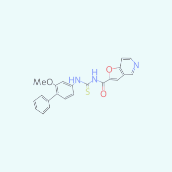 COc1cc(NC(=S)NC(=O)c2cc3cnccc3o2)ccc1-c1ccccc1